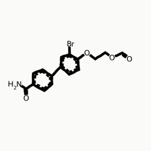 NC(=O)c1ccc(-c2ccc(OCCOC=O)c(Br)c2)cc1